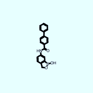 O=C(Nc1ccc2c(c1)B(O)OC2)c1ccc(-c2ccccc2)cc1